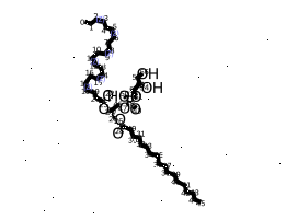 CC/C=C\C/C=C\C/C=C\C/C=C\C/C=C\C/C=C\CCC(=O)O[C@H](COC(=O)CCCCCCCCCCCCCCCCC)COP(=O)(O)OC[C@@H](O)CO